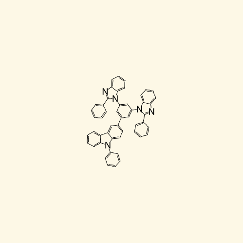 c1ccc(-c2nc3ccccc3n2-c2cc(-c3ccc4c(c3)c3ccccc3n4-c3ccccc3)cc(-n3c(-c4ccccc4)nc4ccccc43)c2)cc1